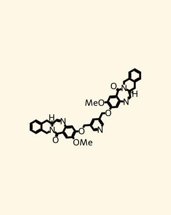 COc1cc2c(cc1OCc1cncc(COc3cc4c(cc3OC)C(=O)N3Cc5ccccc5C[C@H]3C=N4)c1)N=C[C@@H]1Cc3ccccc3CN1C2=O